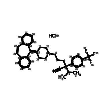 CC(C)C(C#N)(CCCN1CCC(=C2c3ccccc3C=Cc3ccccc32)CC1)c1ccc(C(F)(F)F)cc1.Cl